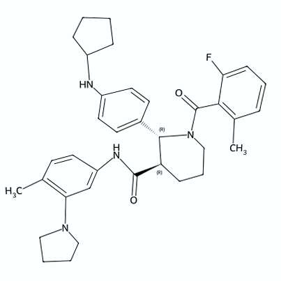 Cc1ccc(NC(=O)[C@@H]2CCCN(C(=O)c3c(C)cccc3F)[C@H]2c2ccc(NC3CCCC3)cc2)cc1N1CCCC1